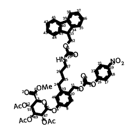 COC(=O)[C@H]1O[C@@H](Oc2ccc(COC(=O)Oc3ccc([N+](=O)[O-])cc3)c(CCCCNC(=O)OCC3c4ccccc4-c4ccccc43)c2)[C@H](OC(C)=O)[C@@H](OC(C)=O)[C@@H]1OC(C)=O